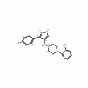 N#Cc1cccnc1N1CCN(Cc2c[nH]nc2-c2ccc(F)cc2)CC1